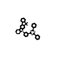 CC1(C)c2ccccc2-c2cc3c4c(n(-c5cccc(-c6nc(-c7ccccc7)nc(-c7ccccc7)n6)c5)c3cc21)CCC=C4